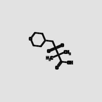 CC(C)(C(=O)O)S(=O)(=O)CC1CCOCC1